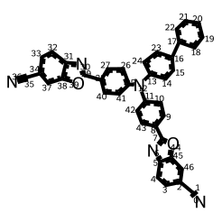 N#Cc1ccc2nc(-c3ccc(N(c4ccc(-c5ccccc5)cc4)c4ccc(-c5nc6ccc(C#N)cc6o5)cc4)cc3)oc2c1